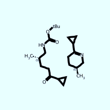 C[C@@H](CCC(=O)C1CC1)CNC(=O)OC(C)(C)C.C[C@H]1CCC(C2CC2)=NC1